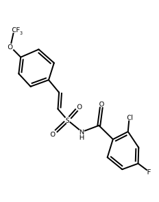 O=C(NS(=O)(=O)/C=C/c1ccc(OC(F)(F)F)cc1)c1ccc(F)cc1Cl